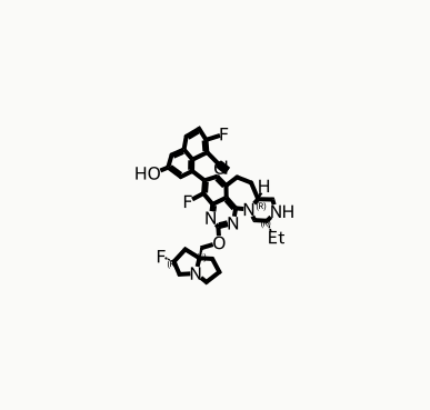 C#Cc1c(F)ccc2cc(O)cc(-c3c(Cl)c4c5c(nc(OC[C@@]67CCCN6C[C@H](F)C7)nc5c3F)N3C[C@@H](CC)NC[C@H]3CC4)c12